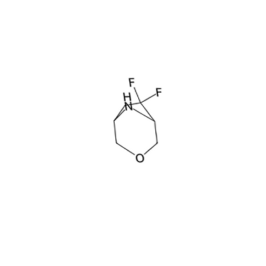 FC1(F)CC2COCC1N2